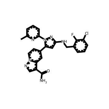 Cc1cccc(-n2nc(NCc3cccc(Cl)c3F)cc2-c2ccn3ncc(C(N)=O)c3c2)n1